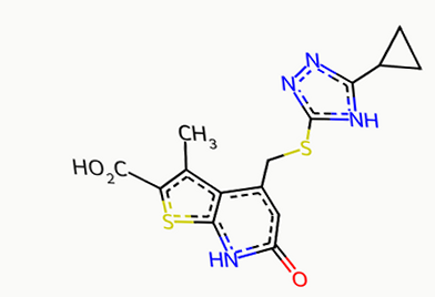 Cc1c(C(=O)O)sc2[nH]c(=O)cc(CSc3nnc(C4CC4)[nH]3)c12